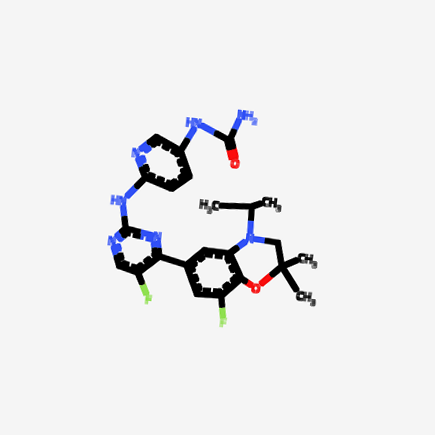 CC(C)N1CC(C)(C)Oc2c(F)cc(-c3nc(Nc4ccc(NC(N)=O)cn4)ncc3F)cc21